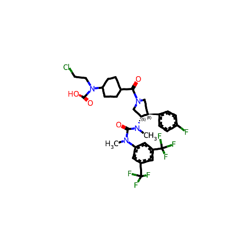 CN(C(=O)N(C)[C@@H]1CN(C(=O)C2CCC(N(CCCl)C(=O)O)CC2)C[C@H]1c1ccc(F)cc1)c1cc(C(F)(F)F)cc(C(F)(F)F)c1